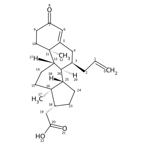 C=CC[C@@H]1CC2=CC(=O)CC[C@]2(C)[C@H]2CC[C@]3(C)[C@@H](CC(=O)O)CC[C@H]3[C@H]12